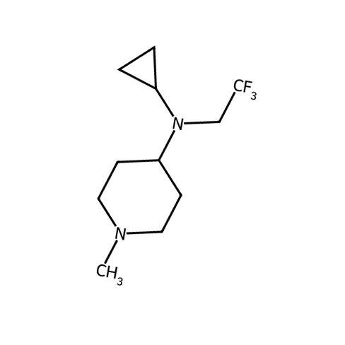 CN1CCC(N(CC(F)(F)F)C2CC2)CC1